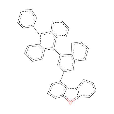 c1ccc(-c2c3ccccc3c(-c3cc(-c4cccc5oc6ccccc6c45)cc4ccccc34)c3ccccc23)cc1